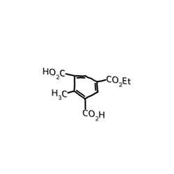 CCOC(=O)c1cc(C(=O)O)c(C)c(C(=O)O)c1